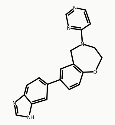 c1cc(N2CCOc3ccc(-c4ccc5nc[nH]c5c4)cc3C2)ncn1